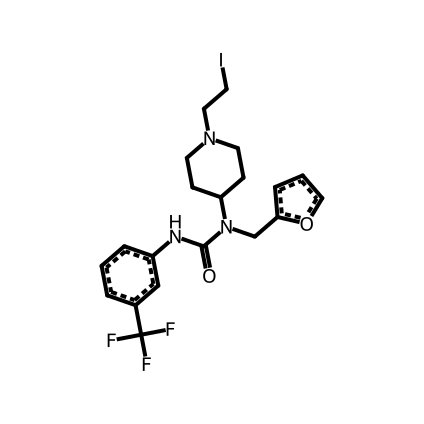 O=C(Nc1cccc(C(F)(F)F)c1)N(Cc1ccco1)C1CCN(CCI)CC1